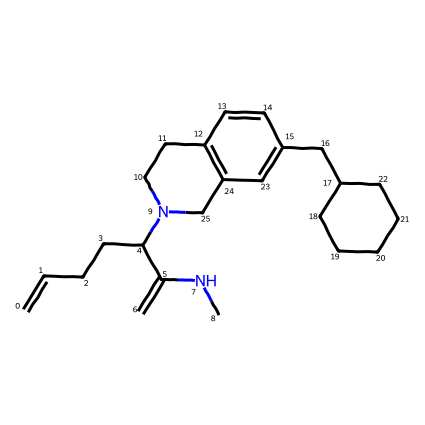 C=CCCC(C(=C)NC)N1CCc2ccc(CC3CCCCC3)cc2C1